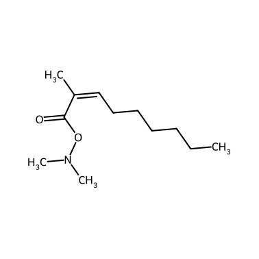 CCCCCCC=C(C)C(=O)ON(C)C